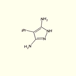 CC(C)c1c(N)n[nH]c1N